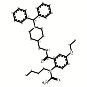 CCCCN(C(N)=O)c1ccc(OCC)cc1C(=O)NCC1CCN(C(c2ccccc2)c2ccccc2)CC1